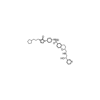 O=c1n(CCCC2CCCC2)ccn1-c1ccc(NS(=O)(=O)c2ccc3c(c2)CCC(CNCC(O)c2cccnc2)O3)cc1